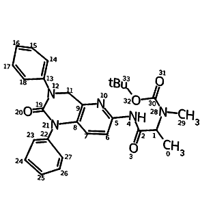 CC(C(=O)Nc1ccc2c(n1)CN(c1ccccc1)C(=O)N2c1ccccc1)N(C)C(=O)OC(C)(C)C